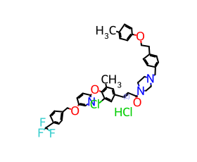 Cc1ccc(OCCc2ccc(CN3CCN(C(=O)/C=C/c4cc(C)c(Oc5ccc(OCc6ccc(C(F)(F)F)cc6)cn5)c(Cl)c4)CC3)cc2)cc1.Cl